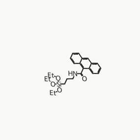 CCO[Si](CCCNC(=O)c1c2ccccc2cc2ccccc12)(OCC)OCC